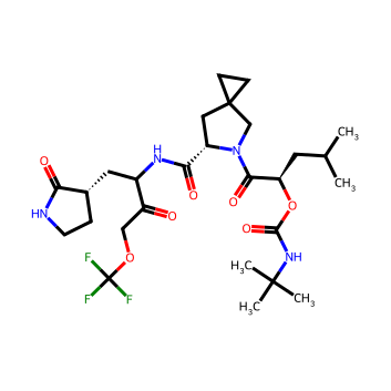 CC(C)C[C@@H](OC(=O)NC(C)(C)C)C(=O)N1CC2(CC2)C[C@H]1C(=O)NC(C[C@@H]1CCNC1=O)C(=O)COC(F)(F)F